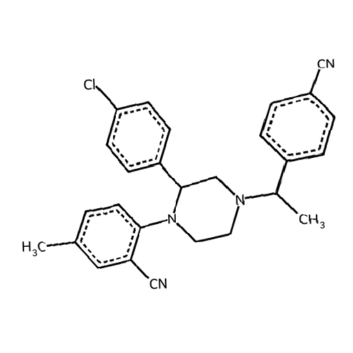 Cc1ccc(N2CCN(C(C)c3ccc(C#N)cc3)CC2c2ccc(Cl)cc2)c(C#N)c1